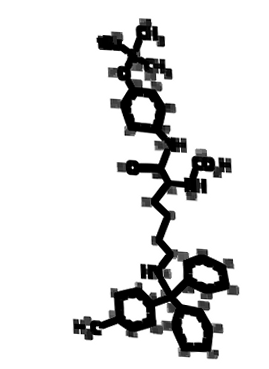 Cc1ccc(C(NCCCCC(NC(=O)O)C(=O)Nc2ccc(O[Si](C)(C)C(C)(C)C)cc2)(c2ccccc2)c2ccccc2)cc1